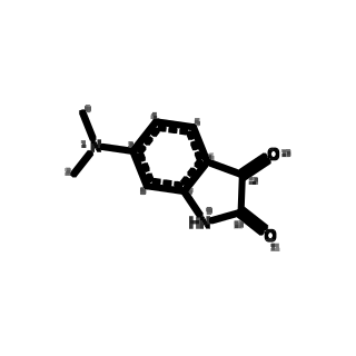 CN(C)c1ccc2c(c1)NC(=O)C2=O